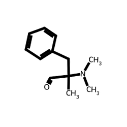 CN(C)C(C)(C=O)Cc1ccccc1